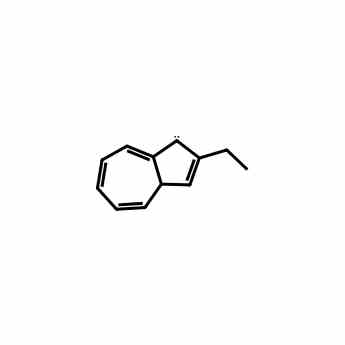 CCC1=CC2C=CC=CC=C2[C]1